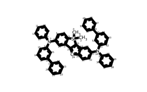 C[Si]1(C)c2ccc(N(c3ccccc3)c3cccc(-c4ccccc4)c3)cc2-c2oc3ccc(N(c4ccccc4)c4cccc(-c5ccccc5)c4)cc3c21